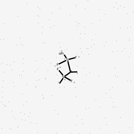 CCC[Si](F)(F)C(C)[Si](C)(F)F